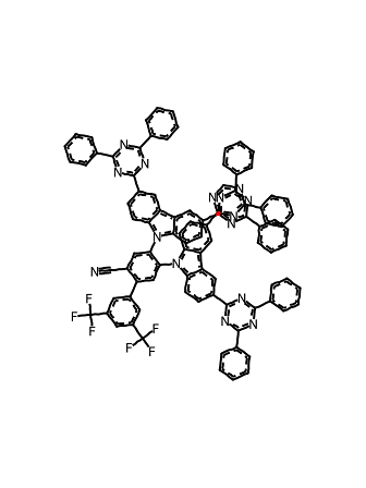 N#Cc1cc(-n2c3ccc(-c4nc(-c5ccccc5)nc(-c5ccccc5)n4)cc3c3cc(-c4nc(-c5ccccc5)nc(-c5ccccc5)n4)ccc32)c(-n2c3ccc(-c4ncnc(-c5ccccc5)n4)cc3c3cc(-c4nc(-c5ccccc5)nc(-c5ccccc5)n4)ccc32)cc1-c1cc(C(F)(F)F)cc(C(F)(F)F)c1